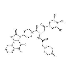 CN1CCN(CC(=O)N[C@@H](CC(=O)c2cc(Br)c(N)c(Br)c2)C(=O)N2CCC(n3c(=O)[nH]c4c5ccccc5n(C)c(=O)c43)CC2)CC1